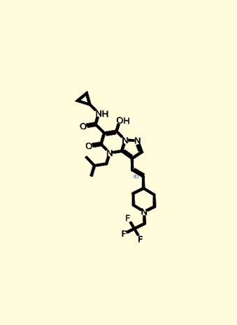 CC(C)Cn1c(=O)c(C(=O)NC2CC2)c(O)n2ncc(/C=C/C3CCN(CC(F)(F)F)CC3)c12